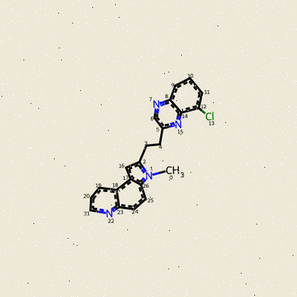 Cn1c(CCc2cnc3cccc(Cl)c3n2)cc2c3cccnc3ccc21